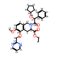 CCOC(=O)C1Cc2c(ccc(OC)c2OCc2ncccn2)CN1C(=O)C(OC1CCCC1)c1ccccc1